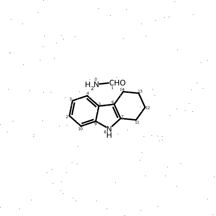 NC=O.c1ccc2c3c([nH]c2c1)CCCC3